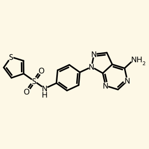 Nc1ncnc2c1cnn2-c1ccc(NS(=O)(=O)c2ccsc2)cc1